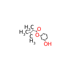 CC(C)C(C)C(=O)Oc1cccc(O)c1